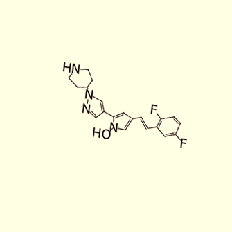 On1cc(C=Cc2cc(F)ccc2F)cc1-c1cnn(C2CCNCC2)c1